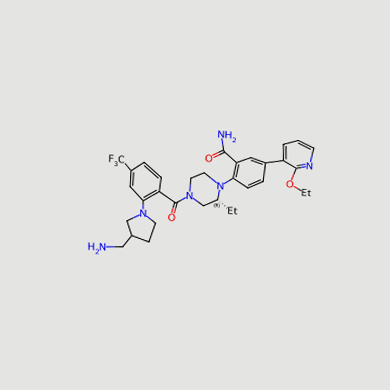 CCOc1ncccc1-c1ccc(N2CCN(C(=O)c3ccc(C(F)(F)F)cc3N3CCC(CN)C3)C[C@H]2CC)c(C(N)=O)c1